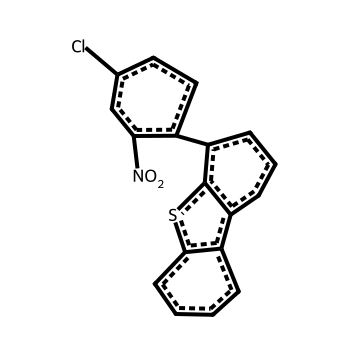 O=[N+]([O-])c1cc(Cl)ccc1-c1cccc2c1sc1ccccc12